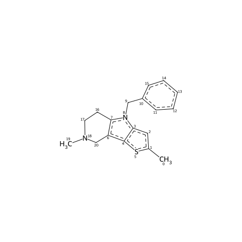 Cc1cc2c(s1)c1c(n2Cc2ccccc2)CCN(C)C1